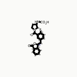 O=C(O)NC1CCN(C(=O)c2cc(/C=C3\OC(=O)c4ccccc43)ccc2F)C1